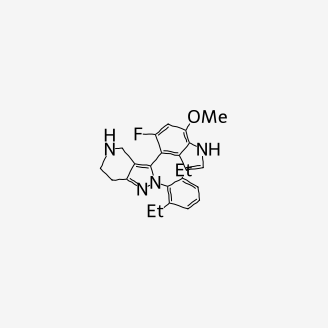 CCc1cccc(CC)c1-n1nc2c(c1-c1c(F)cc(OC)c3[nH]ccc13)CNCC2